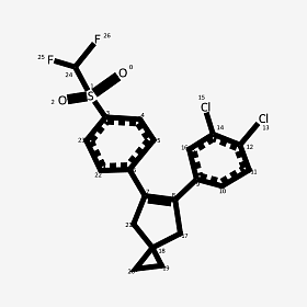 O=S(=O)(c1ccc(C2=C(c3ccc(Cl)c(Cl)c3)CC3(CC3)C2)cc1)C(F)F